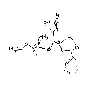 CCOC(=O)[C@@H](C)OC([C@H](CO)N=[N+]=[N-])[C@H]1CCOC(c2ccccc2)O1